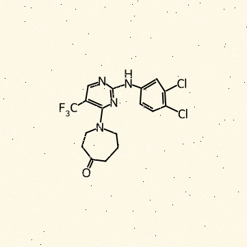 O=C1CCCN(c2nc(Nc3ccc(Cl)c(Cl)c3)ncc2C(F)(F)F)CC1